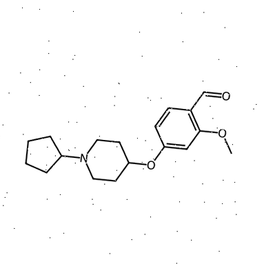 COc1cc(OC2CCN(C3CCCC3)CC2)ccc1C=O